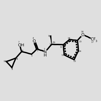 C[C@H](NC(=O)CC(O)C1CC1)c1cccc(OC(F)(F)F)c1